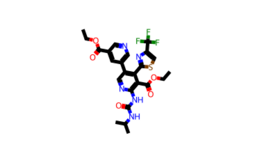 CCOC(=O)c1cncc(-c2cnc(NC(=O)NC(C)C)c(C(=O)OCC)c2-c2nc(C(F)(F)F)cs2)c1